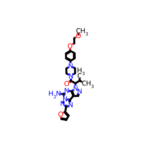 COCCOc1ccc(N2CCN(C(=O)C(C(C)C)n3ncc4c3nc(N)n3nc(-c5ccco5)nc43)CC2)cc1